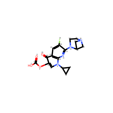 O=C(O)Oc1cn(C2CC2)c2nc(N3CCN4CC3C4)c(F)cc2c1=O